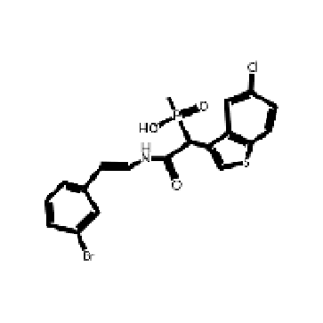 CP(=O)(O)C(C(=O)N/C=C/c1cccc(Br)c1)c1csc2ccc(Cl)cc12